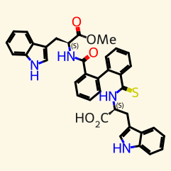 COC(=O)[C@H](Cc1c[nH]c2ccccc12)NC(=O)c1ccccc1-c1ccccc1C(=S)N[C@@H](Cc1c[nH]c2ccccc12)C(=O)O